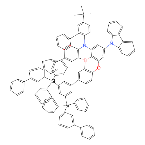 CC(C)(C)c1ccc(N2c3ccc(-c4ccccc4)cc3B3c4cc(-c5cc([Si](c6ccccc6)(c6ccccc6)c6cccc(-c7ccccc7)c6)cc([Si](c6ccccc6)(c6ccccc6)c6cccc(-c7ccccc7)c6)c5)ccc4Oc4cc(-n5c6ccccc6c6ccccc65)cc2c43)c(-c2ccccc2)c1